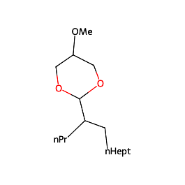 CCCCCCCCC(CCC)C1OCC(OC)CO1